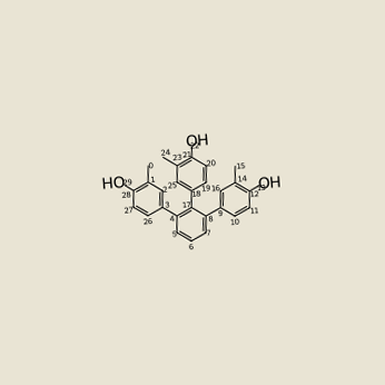 Cc1cc(-c2cccc(-c3ccc(O)c(C)c3)c2-c2ccc(O)c(C)c2)ccc1O